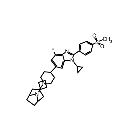 CS(=O)(=O)c1ccc(-c2nc3c(F)cc(C4CCN(C5CC6CCC(C5)N6C5CCC5)CC4)cc3n2C2CC2)cc1